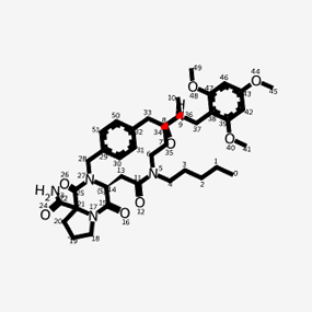 CCCCCN(CCCCC)C(=O)C[C@H]1C(=O)N2C[CH]CC2(C(N)=O)C(=O)N1Cc1ccc(CC(=O)NCc2c(OC)cc(OC)cc2OC)cc1